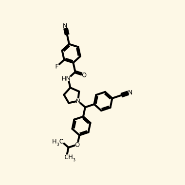 CC(C)Oc1ccc(C(c2ccc(C#N)cc2)N2CCC(NC(=O)c3ccc(C#N)cc3F)C2)cc1